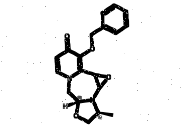 C[C@H]1CO[C@@H]2Cn3ccc(=O)c(OCc4ccccc4)c3C3OC3N12